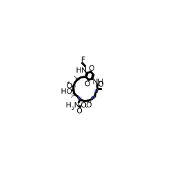 CO[C@H]1/C=C\C=C(/C)C(=O)NC2=CC(=O)C(NCCF)=C(C[C@@H](C)C[C@H](OC)[C@H](O)[C@@H](C)/C=C(\C)[C@@H]1OC(N)=O)C2=O